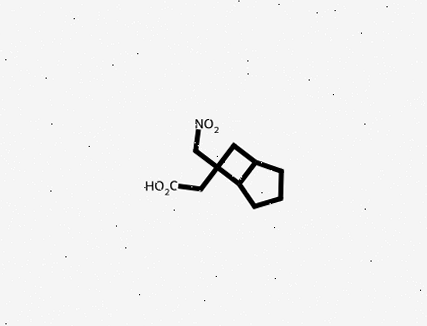 O=C(O)CC1(C[N+](=O)[O-])CC2CCCC21